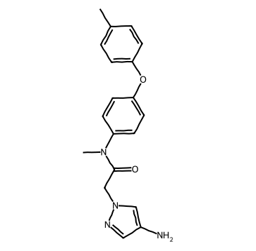 Cc1ccc(Oc2ccc(N(C)C(=O)Cn3cc(N)cn3)cc2)cc1